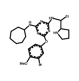 CCC(Nc1nc(NC2CCCCCC2)nc(Oc2ccc(OC)c(Br)c2)n1)C1CCCN1